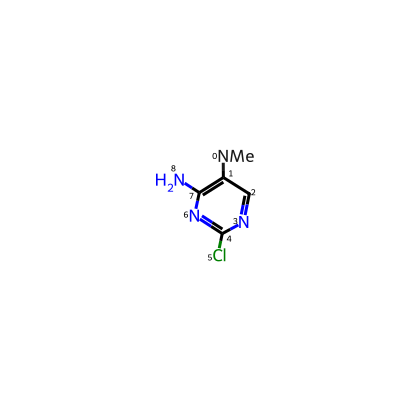 CNc1cnc(Cl)nc1N